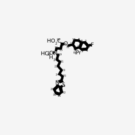 CC(C)[C@@H]1c2ccc(F)cc2CCC1CO[C@@H](CCN(C)CCCCCCCc1nc2ccccc2s1)C(=O)O.Cl